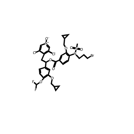 CS(=O)(=O)N(CCCBr)c1ccc(C(=O)OC(Cc2c(Cl)c[n+]([O-])cc2Cl)c2ccc(OC(F)F)c(OCC3CC3)c2)cc1OCC1CC1